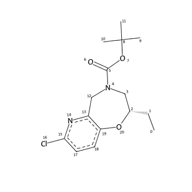 CC[C@H]1CN(C(=O)OC(C)(C)C)Cc2nc(Cl)ccc2O1